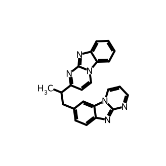 CC(Cc1ccc2nc3ncccn3c2c1)c1ccn2c(n1)nc1ccccc12